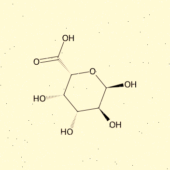 O=C(O)[C@@H]1O[C@@H](O)[C@@H](O)[C@H](O)[C@@H]1O